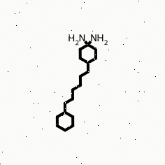 NC1(N)CCC(CCCCCCC2CCCCC2)CC1